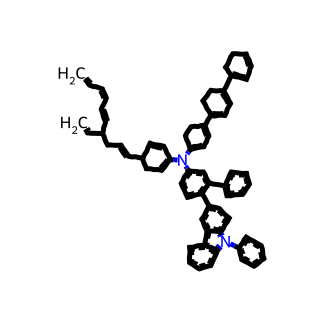 C=C/C=C\C=C\C(C=C)C/C=C/C1C=CC(N(C2=CC=C(C3=CC=C(C4=CC=CCC4)CC3)CC2)c2ccc(-c3ccc4c(c3)c3ccccc3n4-c3ccccc3)c(-c3ccccc3)c2)=CC1